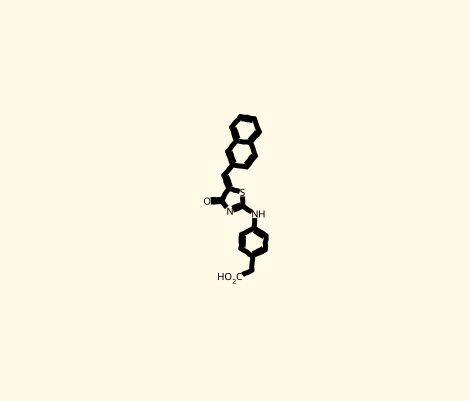 O=C(O)Cc1ccc(NC2=NC(=O)/C(=C/c3ccc4ccccc4c3)S2)cc1